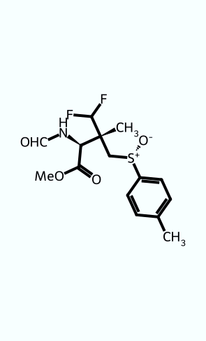 COC(=O)[C@@H](NC=O)[C@@](C)(C[S@+]([O-])c1ccc(C)cc1)C(F)F